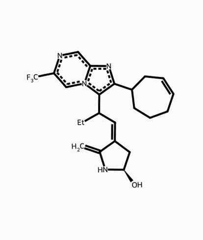 C=C1N[C@H](O)C/C1=C/C(CC)c1c(C2CC=CCCC2)nc2cnc(C(F)(F)F)cn12